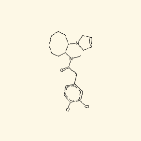 CN(C(=O)Cc1ccc(Cl)c(Cl)c1)C1CCCCCCC1N1CC=CC1